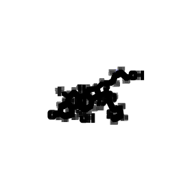 C[C@@H]1C[C@H]2[C@@H]3C[C@H](F)C4=CC(=O)C=C[C@]4(C)[C@@]3(F)[C@@H](O)C[C@]2(C)[C@@]1(OC(=O)c1cccs1)C(=O)SC/C=C\CO